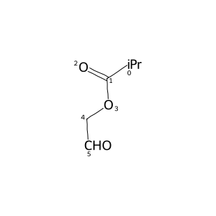 CC(C)C(=O)OCC=O